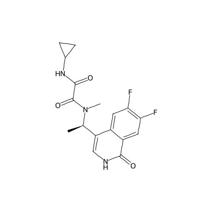 C[C@H](c1c[nH]c(=O)c2cc(F)c(F)cc12)N(C)C(=O)C(=O)NC1CC1